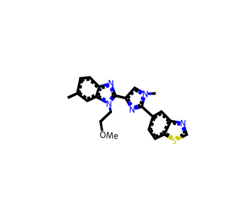 COCCn1c(-c2cn(C)c(-c3ccc4scnc4c3)n2)nc2ccc(C)cc21